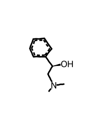 CN(C)C[C@H](O)c1ccccc1